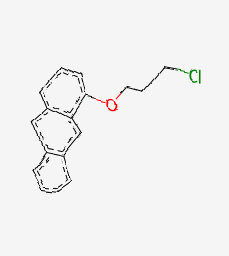 ClCCCOc1cccc2cc3ccccc3cc12